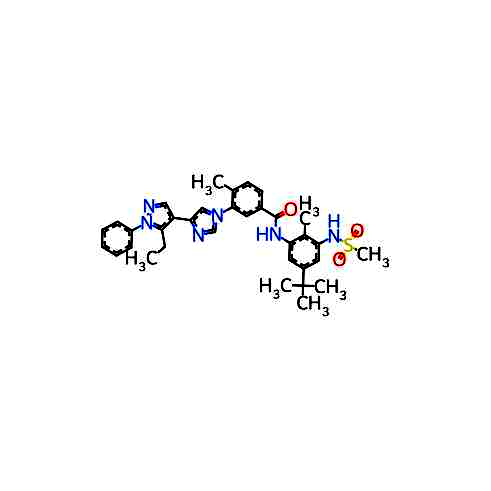 CCc1c(-c2cn(-c3cc(C(=O)Nc4cc(C(C)(C)C)cc(NS(C)(=O)=O)c4C)ccc3C)cn2)cnn1-c1ccccc1